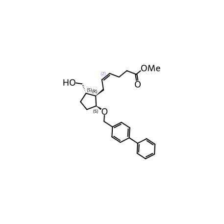 COC(=O)CC/C=C\C[C@@H]1[C@@H](CO)CC[C@@H]1OCc1ccc(-c2ccccc2)cc1